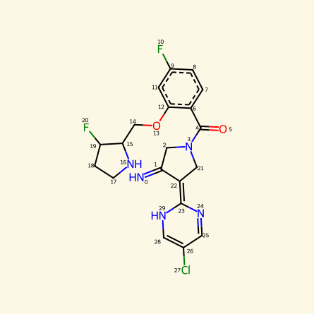 N=C1CN(C(=O)c2ccc(F)cc2OCC2NCCC2F)C/C1=C1\N=CC(Cl)=CN1